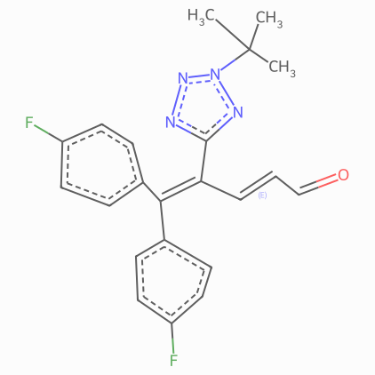 CC(C)(C)n1nnc(C(/C=C/C=O)=C(c2ccc(F)cc2)c2ccc(F)cc2)n1